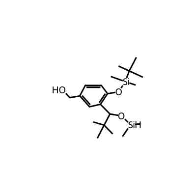 C[SiH](C)OC(c1cc(CO)ccc1O[Si](C)(C)C(C)(C)C)C(C)(C)C